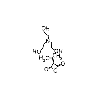 CC(C)=C1C(=O)OC1=O.OCCN(CCO)CCO